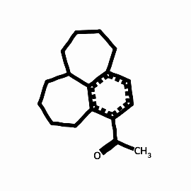 CC(=O)c1ccc2c3c1CCCCC3CCCC2